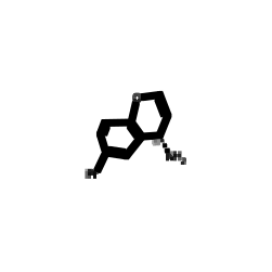 CC(C)c1ccc2c(c1)[C@@H](N)C=CO2